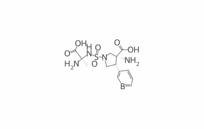 C[C@@](N)(NS(=O)(=O)N1C[C@@H](c2cbccc2)[C@](N)(C(=O)O)C1)C(=O)O